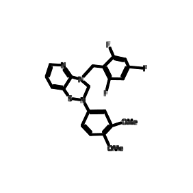 COc1ccc(N2CN(Cc3c(F)cc(F)cc3F)c3ncccc3S2)cc1OC